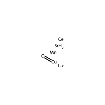 [Ce].[La].[Mn].[O]=[Cu].[SrH2]